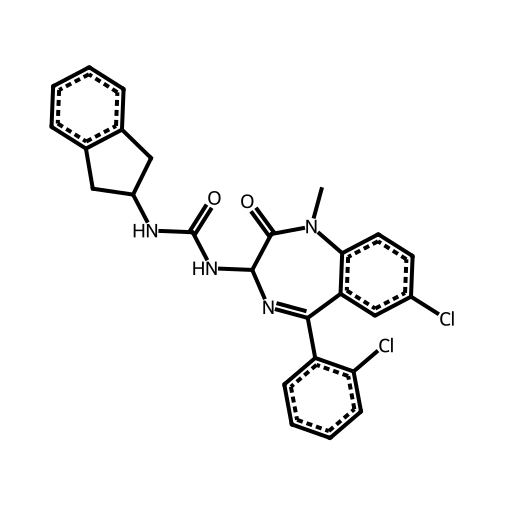 CN1C(=O)C(NC(=O)NC2Cc3ccccc3C2)N=C(c2ccccc2Cl)c2cc(Cl)ccc21